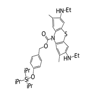 CCNc1cc2c(cc1C)N(C(=O)OCc1ccc(O[Si](C(C)C)(C(C)C)C(C)C)cc1)c1cc(C)c(NCC)cc1S2